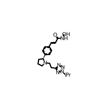 CC(C)n1nnc(CCN2CCC[C@H]2c2ccc(/C=C/C(=O)NO)cc2)n1